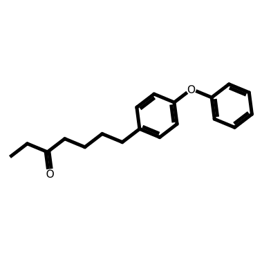 CCC(=O)CCCCc1ccc(Oc2ccccc2)cc1